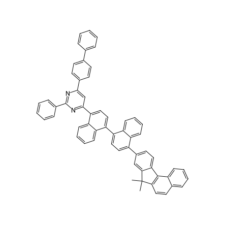 CC1(C)c2cc(-c3ccc(-c4ccc(-c5cc(-c6ccc(-c7ccccc7)cc6)nc(-c6ccccc6)n5)c5ccccc45)c4ccccc34)ccc2-c2c1ccc1ccccc21